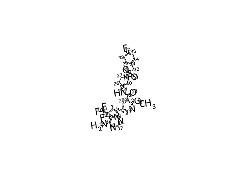 COc1ncc(-c2cc(C(F)(F)F)c3c(N)ncnn23)cc1C(=O)N[C@@H]1CCN(S(=O)(=O)Cc2ccc(F)cc2)C1